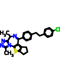 Cc1nnc2n1-c1sc3c(c1C(c1ccc(CCc4ccc(Cl)cc4)cc1)=NC2C)CCC3